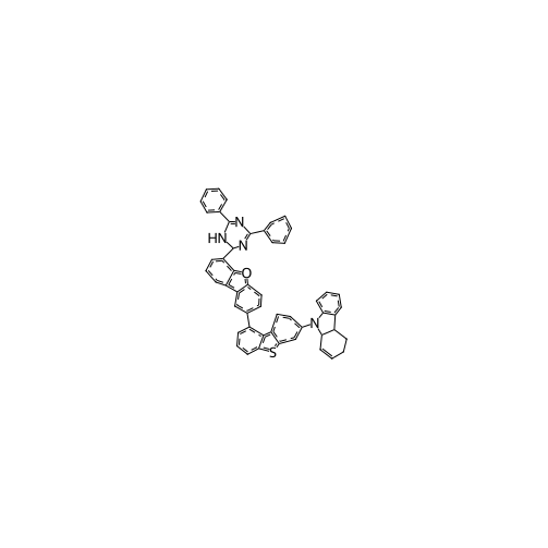 C1=CC2C(CC1)c1ccccc1N2c1ccc2c(c1)sc1cccc(-c3ccc4oc5c(C6N=C(c7ccccc7)N=C(c7ccccc7)N6)cccc5c4c3)c12